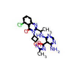 Cc1noc(-c2c(N)ncnc2NC(C)c2nc3cccc(Cl)c3c(=O)n2C2CC(O)C2)n1